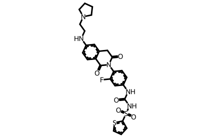 O=C(Nc1ccc(N2C(=O)Cc3cc(NCCN4CCCC4)ccc3C2=O)c(F)c1)NS(=O)(=O)c1cccs1